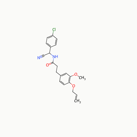 C=CCOc1ccc(CCC(=O)NC(C#N)c2ccc(Cl)cc2)cc1OC